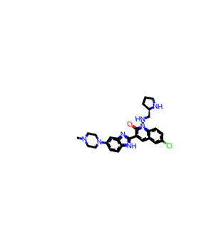 CN1CCN(c2ccc3[nH]c(-c4cc5cc(Cl)ccc5n(NC[C@H]5CCCN5)c4=O)nc3c2)CC1